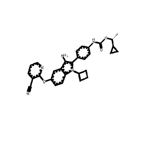 C[C@@H](OC(=O)Nc1ccc(-c2c(N)c3cc(Oc4ncccc4C#N)ccc3n2C2CCC2)cc1)C1CC1